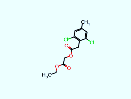 CCOC(=O)COC(=O)Cc1c(Cl)cc(C)cc1Cl